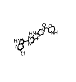 O=C(C1CNCCO1)N1CC[C@H](Nc2nc(-c3c[nH]c4ncc(Cl)cc34)ncc2F)C1